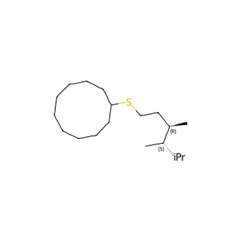 CC(C)[C@H](C)[C@H](C)CCSC1CCCCCCCCC1